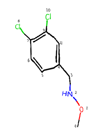 CONCc1ccc(Cl)c(Cl)c1